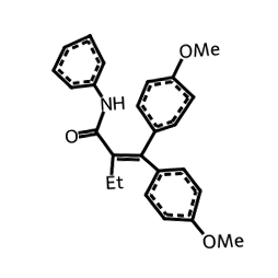 CCC(C(=O)Nc1ccccc1)=C(c1ccc(OC)cc1)c1ccc(OC)cc1